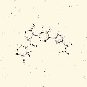 CC1(C)C(=O)NCCN1C(=O)[C@@H]1CCC(=O)N1c1ccc(-c2noc(C(F)C(F)F)n2)c(F)c1